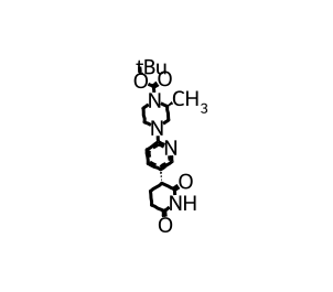 C[C@H]1CN(c2ccc([C@H]3CCC(=O)NC3=O)cn2)CCN1C(=O)OC(C)(C)C